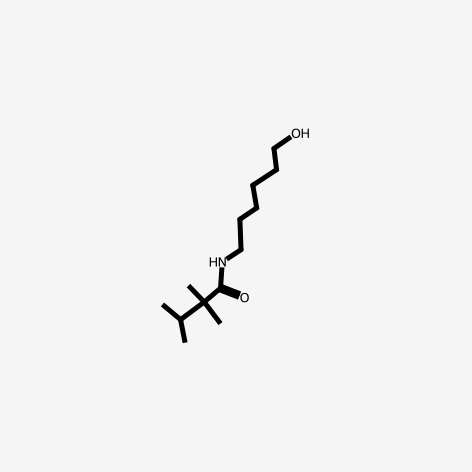 CC(C)C(C)(C)C(=O)NCCCCCCO